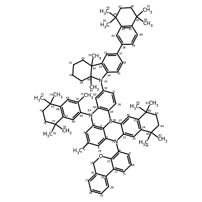 Cc1cc2c3c(c1)N(c1cccc4c1OCc1ccccc1-4)c1cc4c(cc1B3c1ccc(N3c5ccc(-c6ccc7c(c6)C(C)(C)CCC7(C)C)cc5C5(C)CCCCC35C)cc1N2c1cc2c(cc1C)C(C)(C)CCC2(C)C)C(C)(C)CCC4(C)C